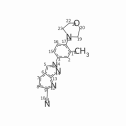 Cc1cc(-n2cc3ccc(C#N)nc3n2)ccc1N1CCOCC1